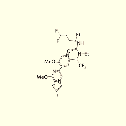 CCC(CCC(F)F)NC(=O)N(CC)[C@@H](c1cc(-c2cn3cc(C)nc3c(OC)n2)c(OC)cn1)C(F)(F)F